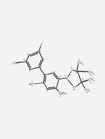 COc1cc(C#N)c(-c2cc(F)cc(F)c2)cc1B1OC(C)(C)C(C)(C)O1